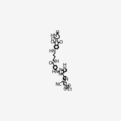 CCS(=O)(=O)N1CC(CC#N)(n2cc(-c3nc(Nc4ccc(C(=O)NCCCCNc5ccc6c(c5)C(=O)N(C5CCC(=O)NC5=O)C6=O)cc4)nc4[nH]ccc34)cn2)C1